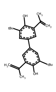 C=C(C)c1cc(-c2cc(C(=C)C)c(O)c(C(C)(C)C)c2)cc(C(C)(C)C)c1O